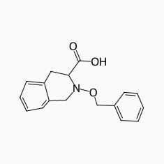 O=C(O)C1Cc2ccccc2CN1OCc1ccccc1